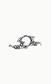 C=C1NC2(CCN(CC(C)C)CC2)N=C1C1=C(C=O)C2=C(C)C(O)(C1)NC(=O)/C(C)=C\C=C\[C@H](C)C[C@@H](C)[C@@H](O)[C@@H](C)[C@H](OC(=O)CC(N)=O)[C@H](C)[C@@H](OC)/C=C/OC(C)(C)O2